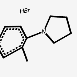 Br.Cc1ccccc1N1CCCC1